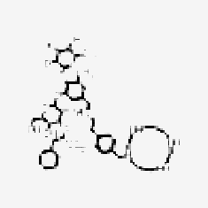 CC(=O)OC1C(OC2CC(CNCCc3ccc(CN4CCCNCCNCCCNCC4)cc3)CC(C)C2OC2OC(C)C(O)C(O)C2O)OC(CO)C(O)C1O[C@@H](CC1CCCCC1)C(=O)O